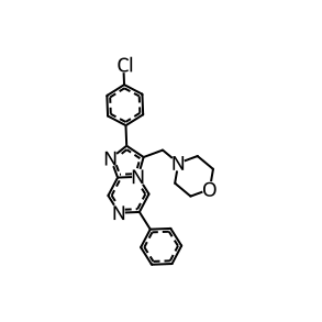 Clc1ccc(-c2nc3cnc(-c4ccccc4)cn3c2CN2CCOCC2)cc1